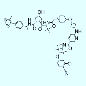 Cc1ncsc1-c1ccc(C(C)NC(=O)[C@@H]2C[C@@H](O)CN2C(=O)C(NC(=O)CN2CCC(OC3CC(Nc4ccc(C(=O)NC5C(C)(C)C(Oc6ccc(C#N)c(Cl)c6)C5(C)C)cn4)C3)CC2)C(C)(C)C)cc1